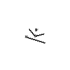 CCCCCCCCCCCCCCCCCC[N+](C)(C)C.CCCCCCCC[N+](C)(C)CCCCCCCC.[Br-].[Br-]